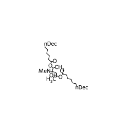 CCCCCCCCCCCCCCCC(=O)OC(C)CC(O)(NC)C(C)OC(=O)CCCCCCCCCCCCCCC